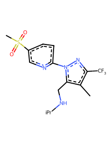 Cc1c(C(F)(F)F)nn(-c2ccc(S(C)(=O)=O)cn2)c1CNC(C)C